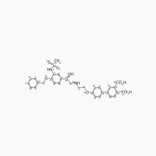 CS(=O)(=O)Nc1cc([C@@H](O)CNCCOc2ccc(-c3ccc(C(=O)O)c(C(=O)O)c3)cc2)ccc1OCc1ccccc1